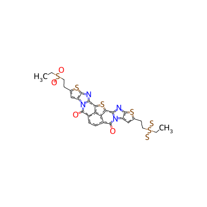 CCS(=O)(=O)CCc1cc2c(nc3c4sc5c6c(ccc(c(=O)n23)c46)c(=O)n2c3cc(CCS(=S)(=S)CC)sc3nc52)s1